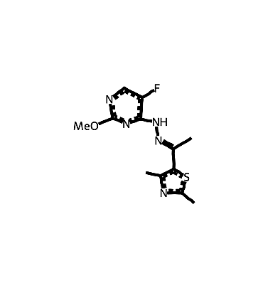 COc1ncc(F)c(N/N=C(\C)c2sc(C)nc2C)n1